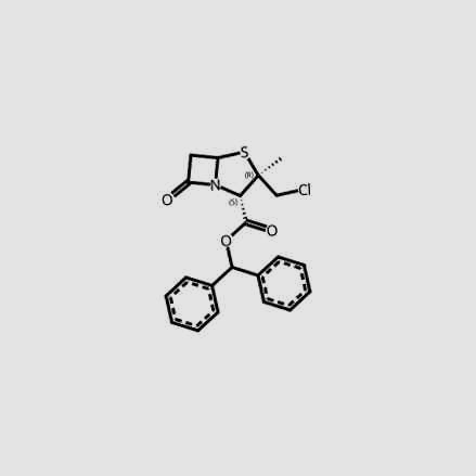 C[C@@]1(CCl)SC2CC(=O)N2[C@H]1C(=O)OC(c1ccccc1)c1ccccc1